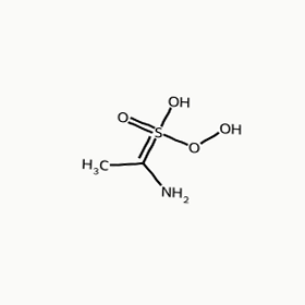 CC(N)=S(=O)(O)OO